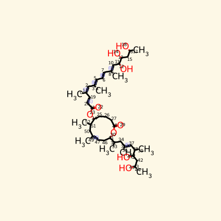 CC(=C/C(C)=C/C=C/C(C)=C/C(O)C(O)CC(C)O)/C=C/C(=O)OC1CCCC(=O)OC(C(C)C/C(C)=C/C(C)C(O)CC(C)O)C/C=C(/C)CC1C